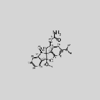 COC12Oc3cc(C(C)C)ccc3C1(CCOC(N)=O)C(=O)c1ccccc12